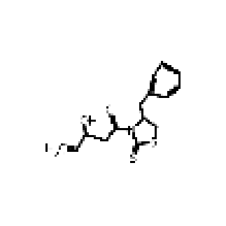 C=CC(O)CC(=O)N1C(=S)SCC1Cc1ccccc1